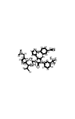 Cc1c(-c2ccnn2-c2ccc(C#N)cc2)n(C(=O)NC(c2ncc(CN(C)C)o2)C(C)C)c(=O)n1-c1cccc(C(F)(F)F)c1